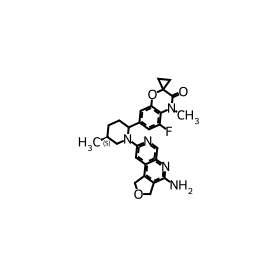 C[C@H]1CCC(c2cc(F)c3c(c2)OC2(CC2)C(=O)N3C)N(c2cc3c4c(c(N)nc3cn2)COC4)C1